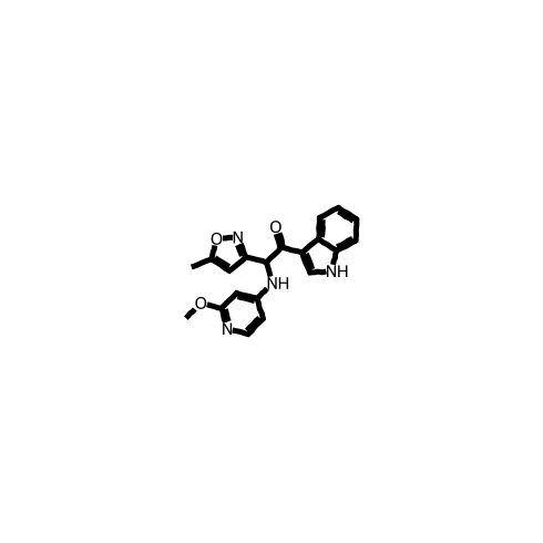 COc1cc(NC(C(=O)c2c[nH]c3ccccc23)c2cc(C)on2)ccn1